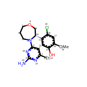 CCc1cc(N2CCCOC[C@@H]2c2cc(O)c(OC)cc2Cl)nc(N)n1